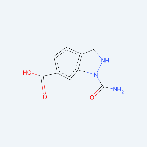 NC(=O)N1NCc2ccc(C(=O)O)cc21